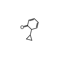 O=C1C=CC=CC1C1CC1